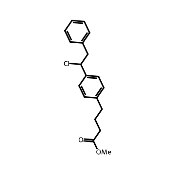 COC(=O)CCCc1ccc(C(Cl)Cc2ccccc2)cc1